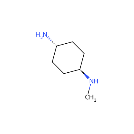 CN[C@H]1CC[C@H](N)CC1